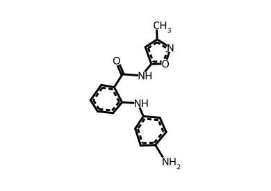 Cc1cc(NC(=O)c2ccccc2Nc2ccc(N)cc2)on1